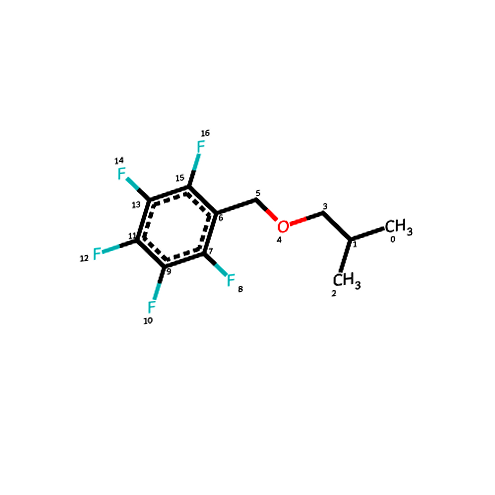 CC(C)COCc1c(F)c(F)c(F)c(F)c1F